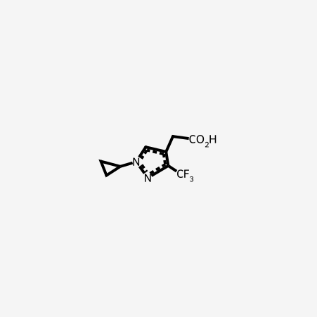 O=C(O)Cc1cn(C2CC2)nc1C(F)(F)F